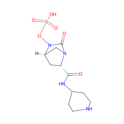 O=C(NC1CCNCC1)[C@@H]1C[C@@H]2CN1C(=O)N2OS(=O)(=O)O